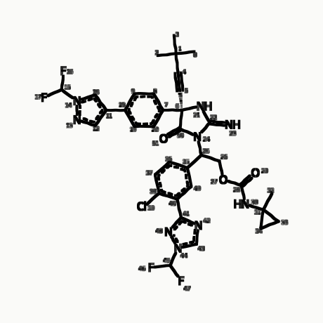 CC(C)(C)C#C[C@]1(c2ccc(-c3cnn(C(F)F)c3)cc2)NC(=N)N(C(COC(=O)NC2(C)CC2)c2ccc(Cl)c(-c3ncn(C(F)F)n3)c2)C1=O